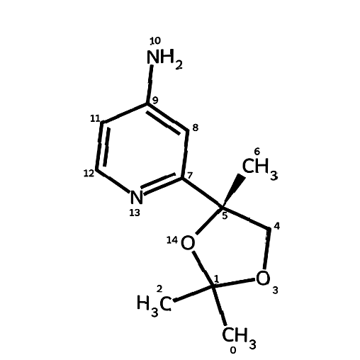 CC1(C)OC[C@@](C)(c2cc(N)ccn2)O1